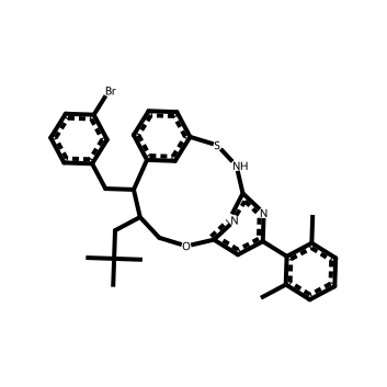 Cc1cccc(C)c1-c1cc2nc(n1)NSc1cccc(c1)C(Cc1cccc(Br)c1)C(CC(C)(C)C)CO2